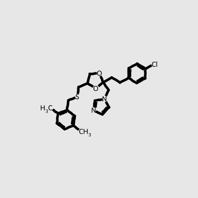 Cc1ccc(C)c(CSCC2COC(CCc3ccc(Cl)cc3)(Cn3ccnc3)O2)c1